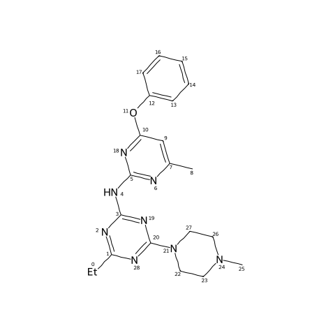 CCc1nc(Nc2nc(C)cc(Oc3ccccc3)n2)nc(N2CCN(C)CC2)n1